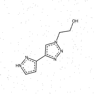 OCCn1cc(-c2cc[nH]n2)nn1